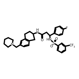 O=C(CC(NS(=O)(=O)c1cccc(C(F)(F)F)c1)c1ccc(F)cc1)NC1CCc2cc(CN3CCCCC3)ccc2C1